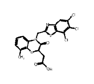 Cc1cccc2c1OC(CC(=O)O)C(=O)N2Cc1nc2cc(Cl)c(Cl)c(Cl)c2s1